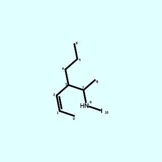 C/C=C\C(CCC)C(C)NI